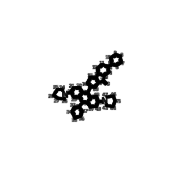 C=C1c2cc(-c3ccccc3)ccc2-c2ccc(-c3c4ccc(N5CCCCC5)cc4c(-c4ccccc4)c4ccc(N5CCCCC5)cc34)cc21